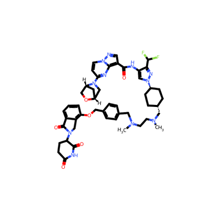 CN(CCN(C)C[C@H]1CC[C@H](n2cc(NC(=O)c3cnn4ccc(N5C[C@H]6C[C@@H]5CO6)nc34)c(C(F)F)n2)CC1)Cc1ccc(COc2cccc3c2CN(C2CCC(=O)NC2=O)C3=O)cc1